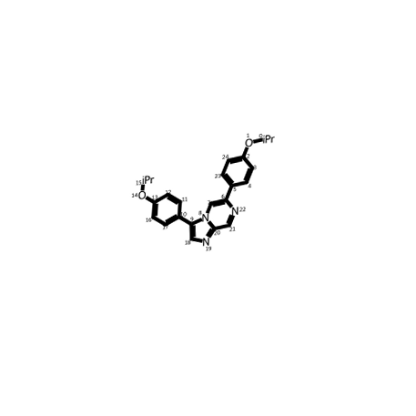 CC(C)Oc1ccc(-c2cn3c(-c4ccc(OC(C)C)cc4)cnc3cn2)cc1